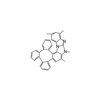 Cc1cc(C)c2nc3n(C)c4c(C)cc5c(c4n3c2c1)-c1ccccc1-c1ccccc1-c1ccccc1-5